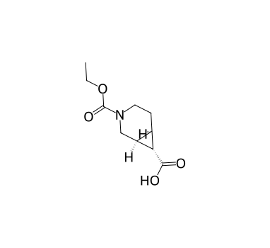 CCOC(=O)N1CC[C@@H]2[C@H](C1)[C@H]2C(=O)O